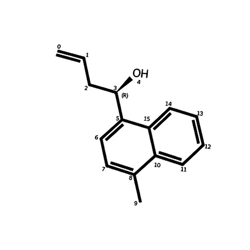 C=CC[C@@H](O)c1ccc(C)c2ccccc12